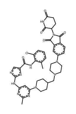 Cc1nc(Nc2ncc(C(=O)Nc3c(C)cccc3Cl)s2)cc(N2CCC(CN3CCN(c4ccc5c(c4)C(=O)N(C4CCC(=O)NC4=O)C5=O)CC3)CC2)n1